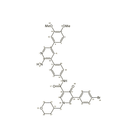 COc1ccc(-c2cnc(N)c(-c3ccc(NC(=O)c4cn(CC5CCOCC5)cc(-c5ccc(Br)cc5)c4=O)cc3)c2)cc1OC